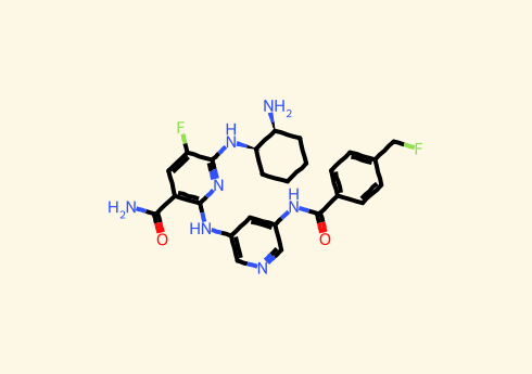 NC(=O)c1cc(F)c(N[C@@H]2CCCC[C@@H]2N)nc1Nc1cncc(NC(=O)c2ccc(CF)cc2)c1